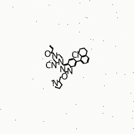 C=CC(=O)N1CCN(c2nc(OCC3CCCN3C)nc3cc(-c4cccc5c4CCCC5)c(Cl)cc23)C[C@@H]1CC#N